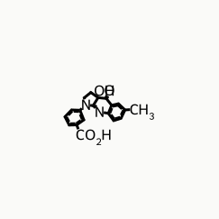 Cc1ccc2c(c1)C(=O)C1(O)CCN(c3cccc(C(=O)O)c3)C1=N2